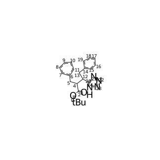 CC(C)(C)OC(=O)C(Cc1ccccc1)C(Cc1ccccc1)c1nnn[nH]1